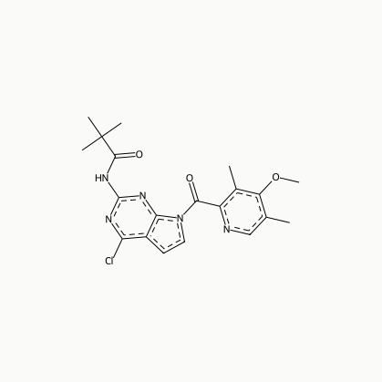 COc1c(C)cnc(C(=O)n2ccc3c(Cl)nc(NC(=O)C(C)(C)C)nc32)c1C